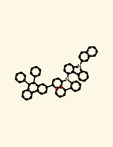 c1ccc(-c2ccccc2N(c2ccc(-c3ccc4c(c3)c(-c3ccccc3)c(-c3ccccc3)c3ccccc34)cc2)c2cccc3c2c2ccccc2n3-c2ccc3ccccc3c2)cc1